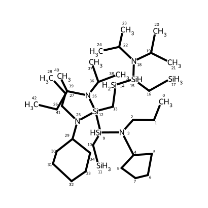 CCCN(C1CCCC1)[SiH](C[SiH3])[Si](C[SiH2][SiH](C[SiH3])N(C(C)C)C(C)C)(N(CCC)C1CCCCC1)N(C(C)C)C(C)CC